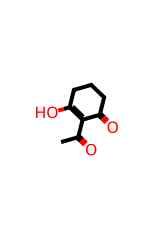 CC(=O)C1=C(O)CCCC1=O